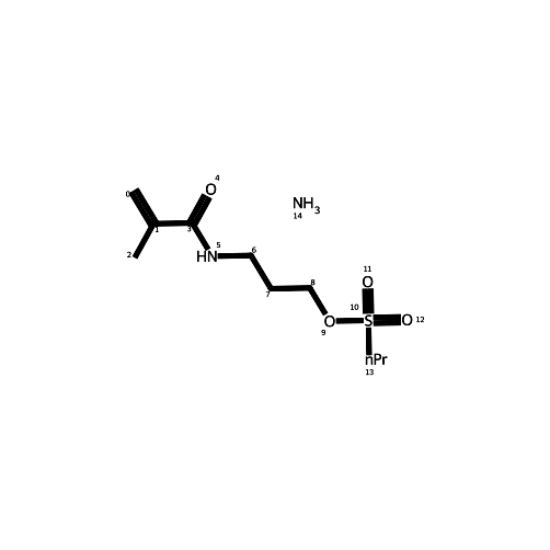 C=C(C)C(=O)NCCCOS(=O)(=O)CCC.N